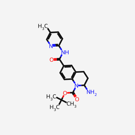 Cc1ccc(NC(=O)c2ccc3c(c2)CCC(N)N3C(=O)OC(C)(C)C)nc1